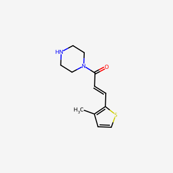 Cc1ccsc1C=CC(=O)N1CCNCC1